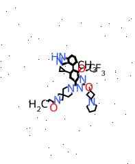 C=CC(=O)N1CC2(CCN(c3nc(OC4CC(N5CCCC5)C4)nc4c(OCC(F)(F)F)c(-c5c(C)ccc6[nH]ncc56)c(C5CC5)cc34)CC2)C1